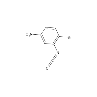 O=C=Nc1cc([N+](=O)[O-])ccc1Br